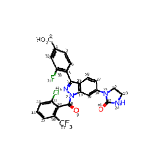 O=C(O)c1ccc(-c2nn(C(=O)c3c(Cl)cccc3C(F)(F)F)c3cc(N4CCNC4=O)ccc23)c(F)c1